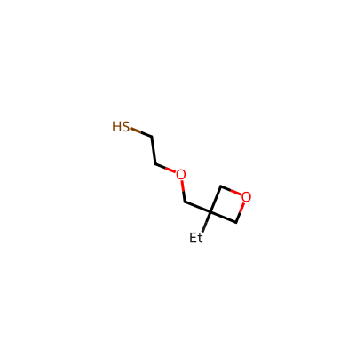 CCC1(COCCS)COC1